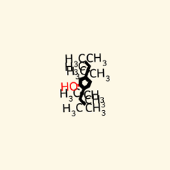 CC(C)(C)CC(C)(C)c1ccc(C(C)(C)CC(C)(C)C)c(O)c1